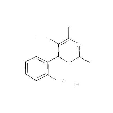 CCOC(=O)C1=C(C)N=C(C)NC1c1ccccc1OC.Cl